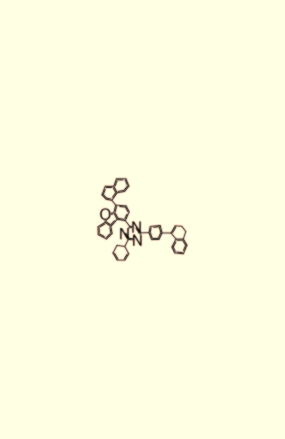 C1=CCC(c2nc(-c3ccc(C4=CCCc5ccccc54)cc3)nc(-c3ccc(-c4cccc5ccccc45)c4oc5ccccc5c34)n2)C=C1